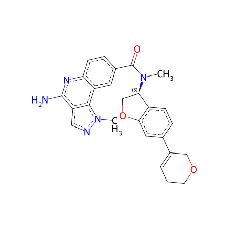 CN(C(=O)c1ccc2nc(N)c3cnn(C)c3c2c1)[C@@H]1COc2cc(C3=CCCOC3)ccc21